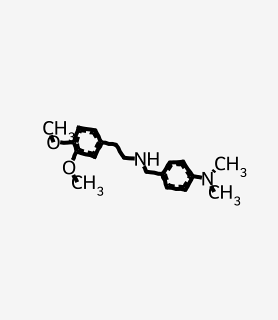 COc1ccc(CCNCc2ccc(N(C)C)cc2)cc1OC